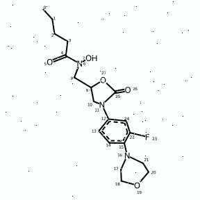 CCCCC(=O)N(O)CC1CN(c2ccc(N3CCOCC3)c(F)c2)C(=O)O1